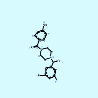 CC(c1cc(F)cc(F)c1)N1CCN(C(=O)c2ccc(N)cc2)CC1